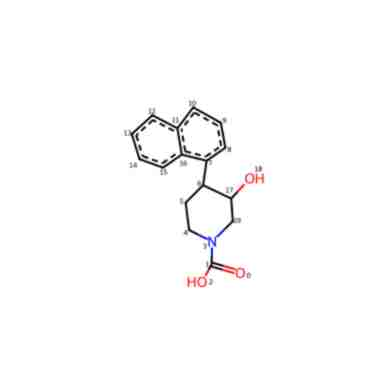 O=C(O)N1CCC(c2cccc3ccccc23)C(O)C1